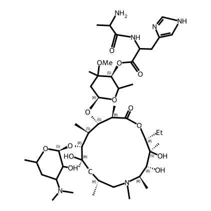 CC[C@H]1OC(=O)[C@H](C)[C@@H](O[C@H]2CC(C)(OC)[C@@H](OC(=O)C(Cc3c[nH]cn3)NC(=O)C(C)N)C(C)O2)[C@H](C)[C@@H](O[C@@H]2OC(C)CC(N(C)C)C2O)[C@](C)(O)C[C@@H](C)CN(C)[C@H](C)[C@@H](O)[C@]1(C)O